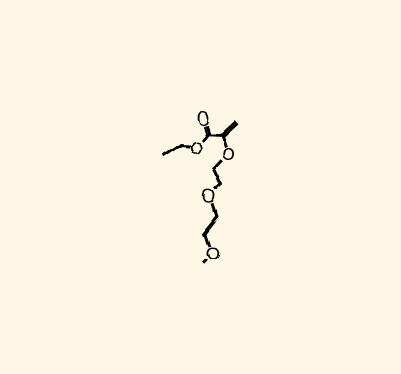 C=C(OCCOCCOC)C(=O)OCC